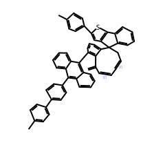 C=C1/C=C\C=C/CC2(c3ccccc3-c3sc(-c4ccc(C)cc4)cc32)c2cccc(-c3c4ccccc4c(-c4ccc(-c5ccc(C)cc5)cc4)c4ccccc34)c21